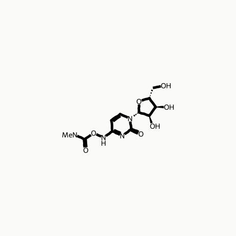 CNC(=O)ONc1ccn([C@@H]2O[C@H](CO)[C@@H](O)[C@H]2O)c(=O)n1